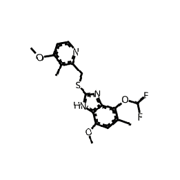 COc1ccnc(CSc2nc3c(OC(F)F)c(C)cc(OC)c3[nH]2)c1C